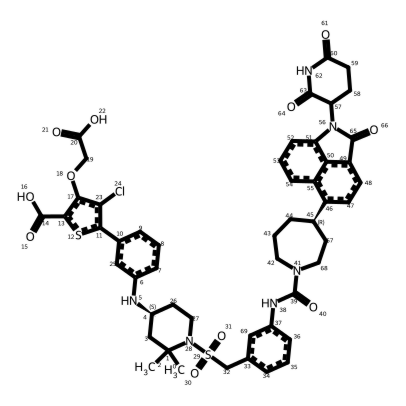 CC1(C)C[C@@H](Nc2cccc(-c3sc(C(=O)O)c(OCC(=O)O)c3Cl)c2)CCN1S(=O)(=O)Cc1cccc(NC(=O)N2CCC[C@@H](c3ccc4c5c(cccc35)N(C3CCC(=O)NC3=O)C4=O)CC2)c1